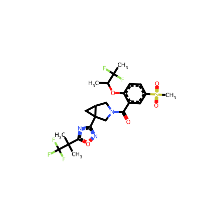 CC(Oc1ccc(S(C)(=O)=O)cc1C(=O)N1CC2CC2(c2noc(C(C)(C)C(F)(F)F)n2)C1)C(C)(F)F